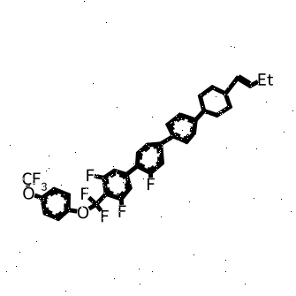 CC/C=C/C1CCC(c2ccc(-c3ccc(-c4cc(F)c(C(F)(F)Oc5ccc(OC(F)(F)F)cc5)c(F)c4)c(F)c3)cc2)CC1